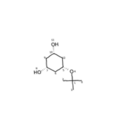 CC(C)(C)O[C@@H]1C[C@H](O)C[C@H](O)C1